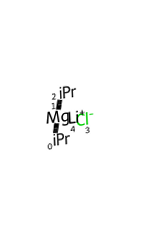 C[CH](C)[Mg][CH](C)C.[Cl-].[Li+]